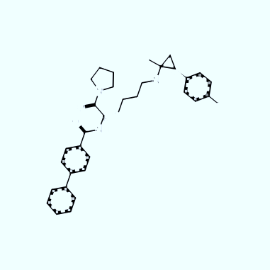 CC1(NCCCC[C@H](NC(=O)c2ccc(-c3ccccc3)cc2)C(=O)N2CCCC2)C[C@H]1c1ccc(F)cc1